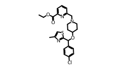 CCOC(=O)c1cccc(CN2CCC(OC(c3ccc(Cl)cc3)c3nc(C)cs3)CC2)n1